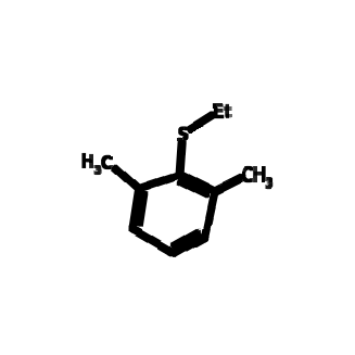 CCSc1c(C)cccc1C